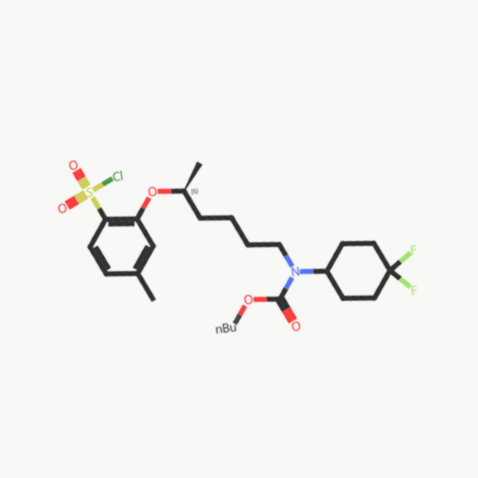 CCCCOC(=O)N(CCCC[C@H](C)Oc1cc(C)ccc1S(=O)(=O)Cl)C1CCC(F)(F)CC1